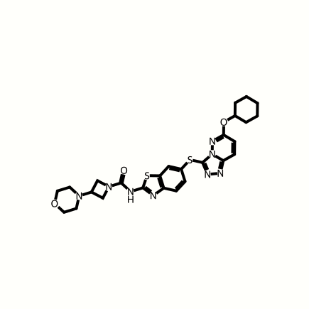 O=C(Nc1nc2ccc(Sc3nnc4ccc(OC5CCCCC5)nn34)cc2s1)N1CC(N2CCOCC2)C1